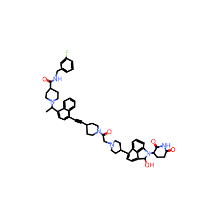 CC(c1ccc(C#CC2CCN(C(=O)CN3CCC(c4ccc5c6c(cccc46)N(C4CCC(=O)NC4=O)C5O)CC3)CC2)c2ccccc12)N1CCC(C(=O)NCc2cccc(F)c2)CC1